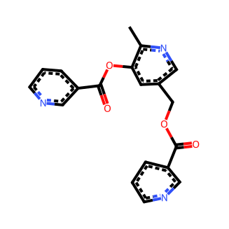 Cc1ncc(COC(=O)c2cccnc2)cc1OC(=O)c1cccnc1